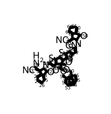 N#CC(C#N)=C1/C(=N\c2cc3sc4c5c(sc4c3s2)-c2sc(/N=C3\C(=O)c4ccccc4\C3=C(\N)C#N)cc2C5(C(=O)OCc2ccccc2)C(=O)OCc2ccccc2)C(=O)c2ccccc21